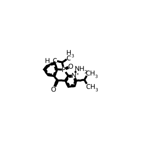 CC(C)c1ccc2c([n+]1N)P(=O)(C(C)C)c1ccccc1C2=O